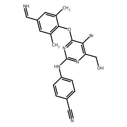 Cc1cc(C=N)cc(C)c1Oc1nc(Nc2ccc(C#N)cc2)nc(CO)c1Br